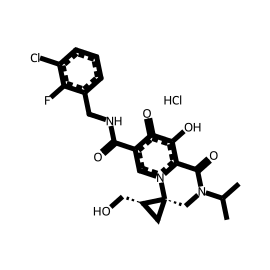 CC(C)N1C[C@@]2(C[C@@H]2CO)n2cc(C(=O)NCc3cccc(Cl)c3F)c(=O)c(O)c2C1=O.Cl